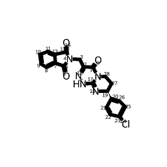 O=C1C(CN2C(=O)c3ccccc3C2=O)=NNC2=N[C@@H](c3ccc(Cl)cc3)CCN12